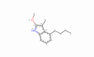 CCCCc1cccc2[nH]c(OC)c(C)c12